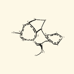 COC(=O)c1cncn1C1CCc2cc(F)ccc21